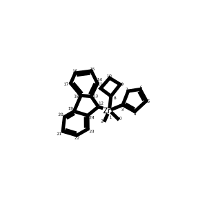 [CH3][Zr]([CH3])([C]1=CC=CC1)([CH]1CCC1)[CH]1c2ccccc2-c2ccccc21